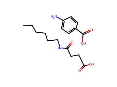 CCCCCCNC(=O)CCC(=O)O.Nc1ccc(C(=O)O)cc1